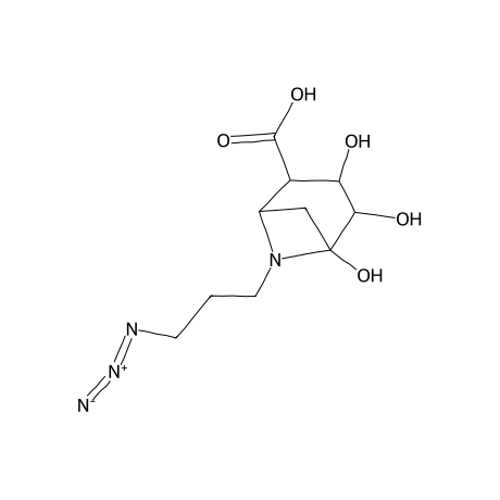 [N-]=[N+]=NCCCN1C2CC1(O)C(O)C(O)C2C(=O)O